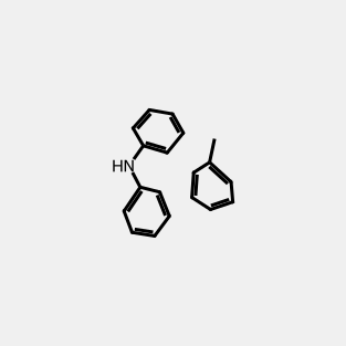 Cc1ccccc1.c1ccc(Nc2ccccc2)cc1